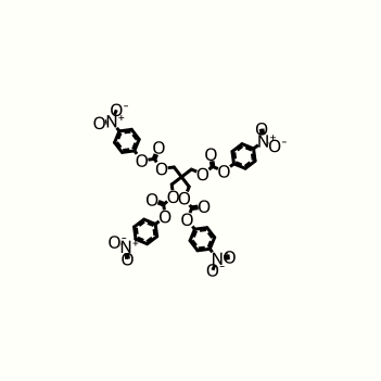 O=C(OCC(COC(=O)Oc1ccc([N+](=O)[O-])cc1)(COC(=O)Oc1ccc([N+](=O)[O-])cc1)COC(=O)Oc1ccc([N+](=O)[O-])cc1)Oc1ccc([N+](=O)[O-])cc1